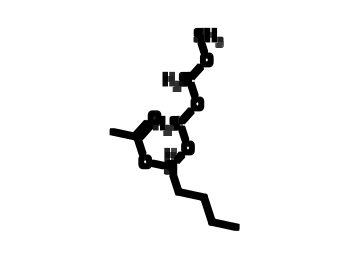 CCCC[SiH](O[SiH2]O[SiH2]O[SiH3])OC(C)=O